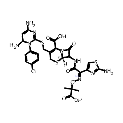 CC(C)(O/N=C(\C(=O)NC1C(=O)N2C(C(=O)O)=C(CSC3=NC(N)=CC(N)N3c3ccc(Cl)cc3)CS[C@@H]12)c1csc(N)n1)C(=O)O